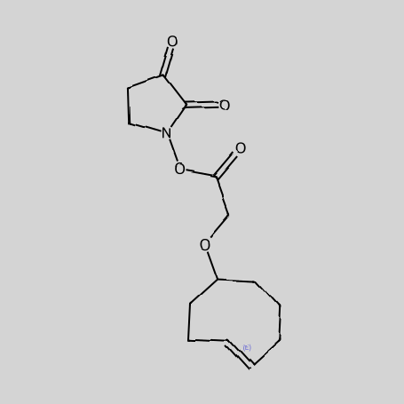 O=C(COC1CC/C=C/CCC1)ON1CCC(=O)C1=O